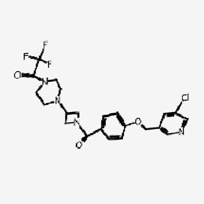 O=C(c1ccc(OCc2cncc(Cl)c2)cc1)N1CC(N2CCN(C(=O)C(F)(F)F)CC2)C1